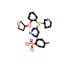 Cc1ccc(S(=O)(=O)[O-])cc1.c1cncc([S+](c2cccnc2)c2ccccc2OC2CCOC2)c1